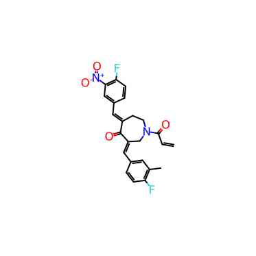 C=CC(=O)N1CC/C(=C\c2ccc(F)c([N+](=O)[O-])c2)C(=O)/C(=C/c2ccc(F)c(C)c2)C1